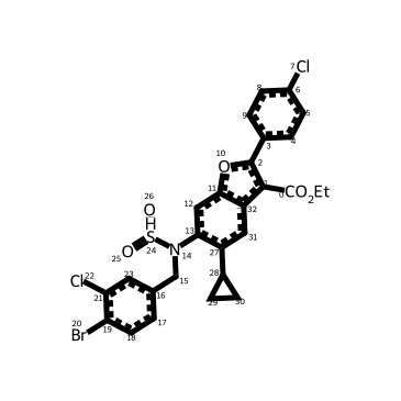 CCOC(=O)c1c(-c2ccc(Cl)cc2)oc2cc(N(Cc3ccc(Br)c(Cl)c3)[SH](=O)=O)c(C3CC3)cc12